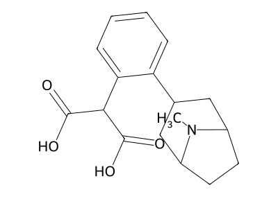 CN1C2CCC1CC(c1ccccc1C(C(=O)O)C(=O)O)C2